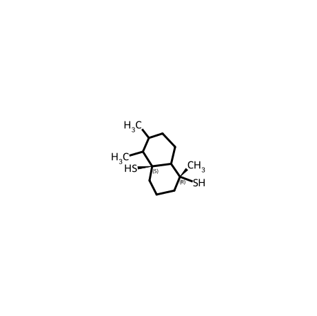 CC1CCC2[C@](S)(CCC[C@@]2(C)S)C1C